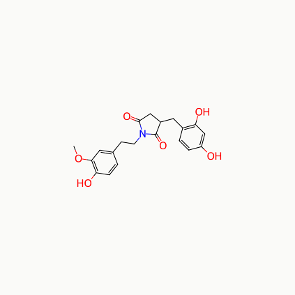 COc1cc(CCN2C(=O)CC(Cc3ccc(O)cc3O)C2=O)ccc1O